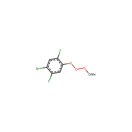 COOOSc1cc(F)c(Br)cc1F